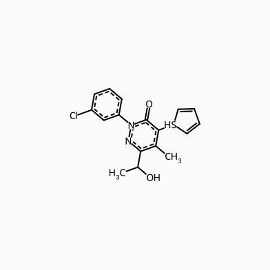 Cc1c(C(C)O)nn(-c2cccc(Cl)c2)c(=O)c1[SH]1C=CC=C1